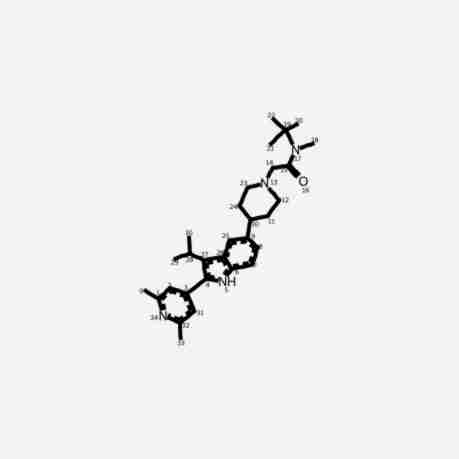 Cc1cc(-c2[nH]c3ccc(C4CCN(CC(=O)N(C)C(C)(C)C)CC4)cc3c2C(C)C)cc(C)n1